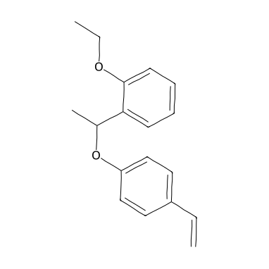 C=Cc1ccc(OC(C)c2ccccc2OCC)cc1